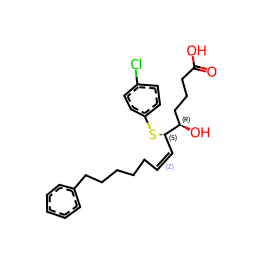 O=C(O)CCC[C@@H](O)[C@H](/C=C\CCCCCc1ccccc1)Sc1ccc(Cl)cc1